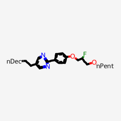 CCCCCCCCCCCCc1cnc(-c2ccc(OCC(F)COCCCCC)cc2)nc1